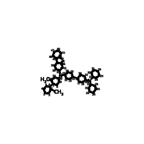 Cc1ccccc1-c1ccc(N(c2ccc(-c3ccc(N(c4ccccc4)c4ccccc4)cc3)cc2)c2ccc3c(c2)sc2ccccc23)cc1C